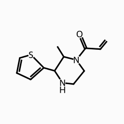 C=CC(=O)N1CCNC(c2cccs2)C1C